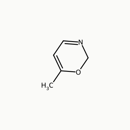 CC1=CC=NCO1